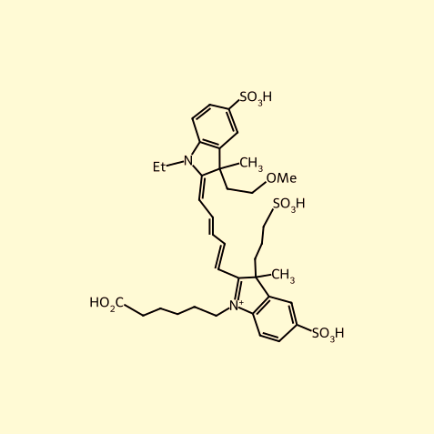 CCN1/C(=C/C=C/C=C/C2=[N+](CCCCCC(=O)O)c3ccc(S(=O)(=O)O)cc3C2(C)CCCS(=O)(=O)O)C(C)(CCOC)c2cc(S(=O)(=O)O)ccc21